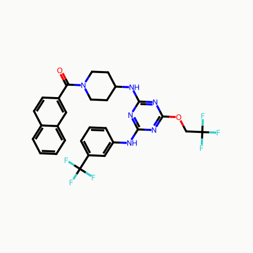 O=C(c1ccc2ccccc2c1)N1CCC(Nc2nc(Nc3cccc(C(F)(F)F)c3)nc(OCC(F)(F)F)n2)CC1